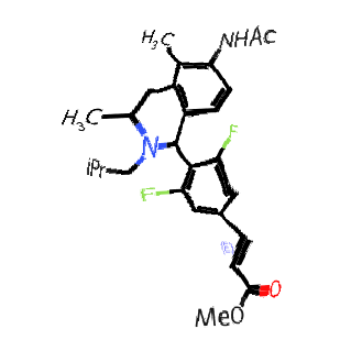 COC(=O)/C=C/c1cc(F)c(C2c3ccc(NC(C)=O)c(C)c3CC(C)N2CC(C)C)c(F)c1